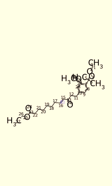 CCOOC(C)(C)c1ccc(CCC(=O)/C=C/CCCCCCC(=O)OCC)cc1OC